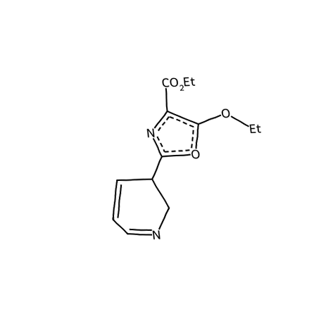 CCOC(=O)c1nc(C2C=CC=NC2)oc1OCC